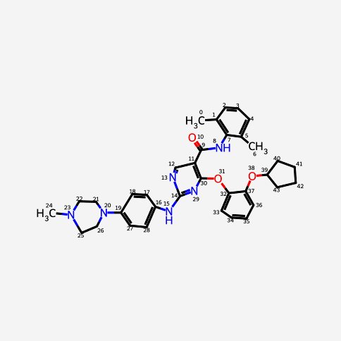 Cc1cccc(C)c1NC(=O)c1cnc(Nc2ccc(N3CCN(C)CC3)cc2)nc1Oc1ccccc1OC1CCCC1